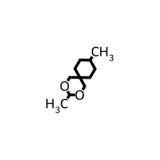 CC1CCC2(CC1)COC(C)OC2